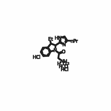 CCCc1c[nH]c(C2C(CC)c3ccccc3N2C(=O)CN)n1.Cl.Cl.O.O